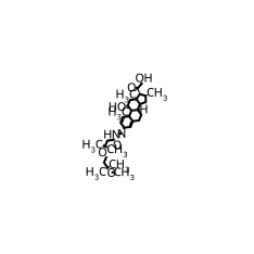 COC(C)(C)CCOC(C)(C)CC(=O)N/N=C1\C=C[C@@]2(C)C(=C1)CC[C@@H]1C2[C@@H](O)C[C@@]2(C)C1C[C@@H](C)[C@@H]2C(=O)CO